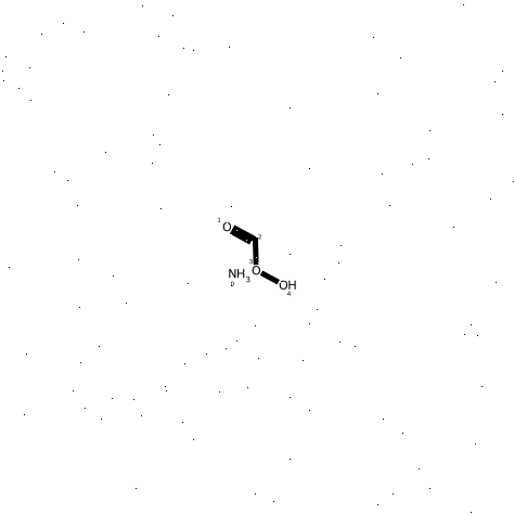 N.O=COO